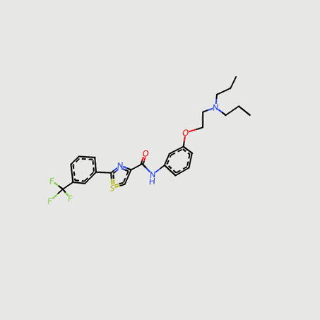 CCCN(CCC)CCOc1cccc(NC(=O)c2csc(-c3cccc(C(F)(F)F)c3)n2)c1